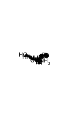 Nc1ncnc2c1c(-c1ccc(Oc3ccccc3)cc1)cn2CCC(=O)NCCNCCO